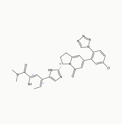 C/C=C(\C=C(/S)C(=O)N(C)C)c1cnc([C@@H]2CCc3cc(-c4cc(Cl)ccc4-n4cnnn4)cc(=O)n32)[nH]1